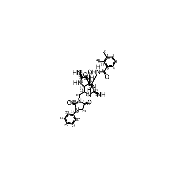 Cc1cccc(C(=O)NC2CN3C(=N)NC(CN4C(=O)CN(c5ccccc5)C4=O)C4NC(=N)N[C@]43C2(O)O)c1C